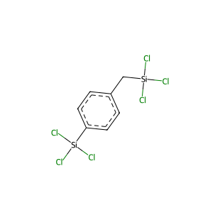 Cl[Si](Cl)(Cl)Cc1ccc([Si](Cl)(Cl)Cl)cc1